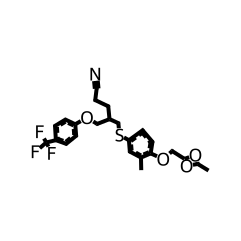 Cc1cc(SCC(CCC#N)COc2ccc(C(F)(F)F)cc2)ccc1OCC1OC(C)O1